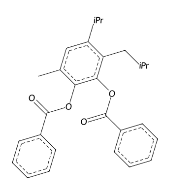 Cc1cc(C(C)C)c(CC(C)C)c(OC(=O)c2ccccc2)c1OC(=O)c1ccccc1